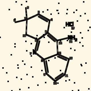 CC1(C)C=Cc2c(nc3ccccc3c2N)C1.Cl